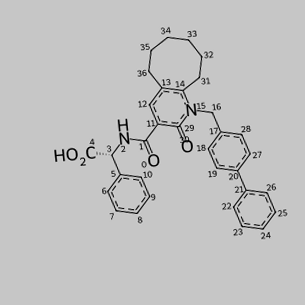 O=C(N[C@@H](C(=O)O)c1ccccc1)c1cc2c(n(Cc3ccc(-c4ccccc4)cc3)c1=O)CCCCCC2